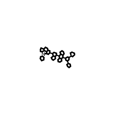 c1ccc(-c2cc(-c3ccccc3)cc(-c3c4ccccc4c(-c4ccc(-c5cc6ccc7cccc8c7c6c(c5)n8-c5ccccc5)c5ccccc45)c4ccccc34)c2)cc1